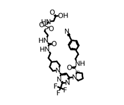 N#Cc1ccc(CCNC(=O)[C@@H]2CCCN2c2cc(N3CCC(CCNC(=O)NCCS(=O)(=O)NCC(=O)O)CC3)nc(C(F)(F)F)n2)cc1